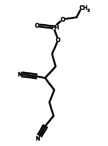 CCO[PH](=O)OCCC(C#N)CCCC#N